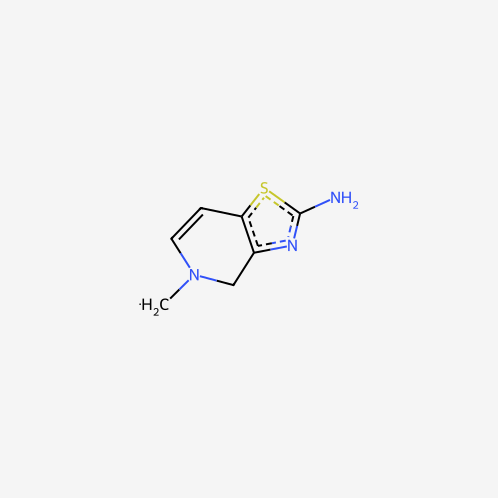 [CH2]N1C=Cc2sc(N)nc2C1